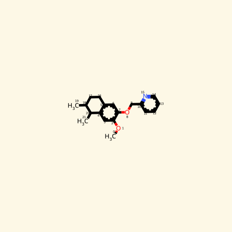 COc1cc2c(cc1OCc1ccccn1)CCC(C)C2C